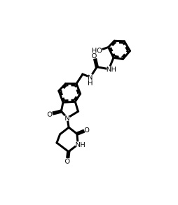 O=C1CCC(N2Cc3cc(CNC(=O)Nc4ccccc4O)ccc3C2=O)C(=O)N1